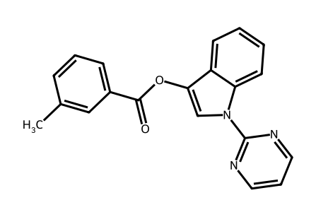 Cc1cccc(C(=O)Oc2cn(-c3ncccn3)c3ccccc23)c1